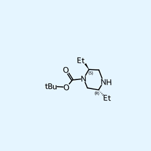 CC[C@@H]1CN(C(=O)OC(C)(C)C)[C@@H](CC)CN1